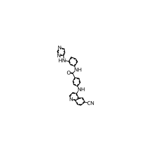 N#Cc1ccc2nccc(Nc3ccc(C(=O)Nc4cccc(Nc5ccncn5)c4)cc3)c2c1